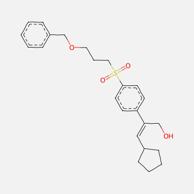 O=S(=O)(CCCOCc1ccccc1)c1ccc(C(=CC2CCCC2)CO)cc1